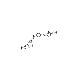 CN(CCOCC(O)CO)c1ccc(/C=C/c2ccc(O)nc2)cc1